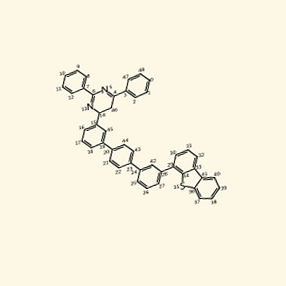 c1ccc(C2=NC(c3ccccc3)=NC(c3cccc(-c4ccc(-c5cccc(-c6cccc7c6sc6ccccc67)c5)cc4)c3)C2)cc1